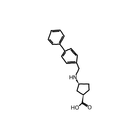 O=C(O)[C@@H]1CC[C@H](NCc2ccc(-c3ccccc3)cc2)C1